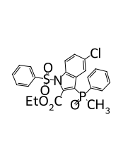 CCOC(=O)c1c(P(C)(=O)c2ccccc2)c2cc(Cl)ccc2n1S(=O)(=O)c1ccccc1